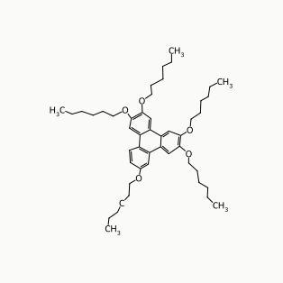 CCCCCCOc1ccc2c(c1)c1cc(OCCCCCC)c(OCCCCCC)cc1c1cc(OCCCCCC)c(OCCCCCC)cc21